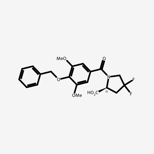 COc1cc(C(=O)N2CC(F)(F)C[C@H]2C(=O)O)cc(OC)c1OCc1ccccc1